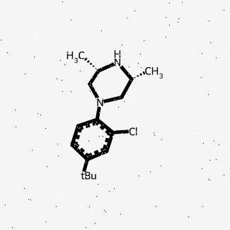 C[C@@H]1CN(c2ccc(C(C)(C)C)cc2Cl)C[C@H](C)N1